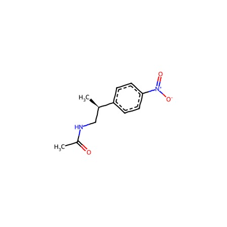 CC(=O)NC[C@@H](C)c1ccc([N+](=O)[O-])cc1